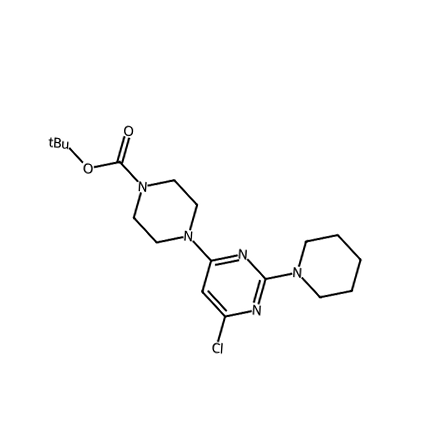 CC(C)(C)OC(=O)N1CCN(c2cc(Cl)nc(N3CCCCC3)n2)CC1